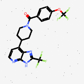 O=C(c1ccc(OC(F)(F)F)cc1)N1CCC(c2ccnc3[nH]c(C(F)(F)F)nc23)CC1